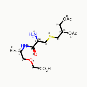 CC[C@@H](COCC(=O)O)NC(=O)[C@@H](N)CSC[C@@H](COC(C)=O)OC(C)=O